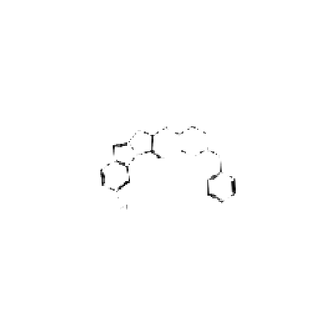 O=C1C(CC2CCN(Cc3ccccc3)CC2)Cc2cc3ccc(O)cc3n21